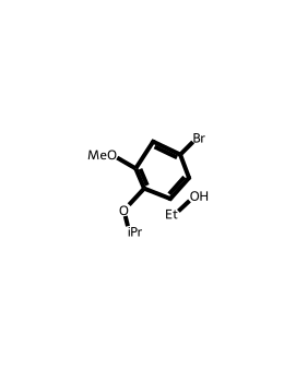 CCO.COc1cc(Br)ccc1OC(C)C